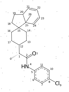 C[C@@H](C(=O)Nc1ccc(Cl)cc1)C1CCC2(CC1)CCC1C=CC=CC12C